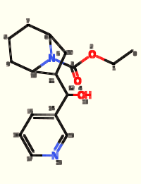 CCOC(=O)N1C2CCCC1C(C(O)c1cccnc1)C2